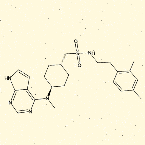 Cc1ccc(CCNS(=O)(=O)C[C@H]2CC[C@H](N(C)c3ncnc4[nH]ccc34)CC2)c(C)c1